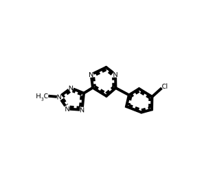 Cn1nnc(-c2cc(-c3cccc(Cl)c3)ncn2)n1